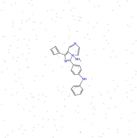 N[N+]12C=CN=CC1=C(C1=CC=C1)N=C2c1ccc(Nc2ccccc2)cc1